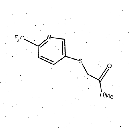 COC(=O)CSc1ccc(C(F)(F)F)nc1